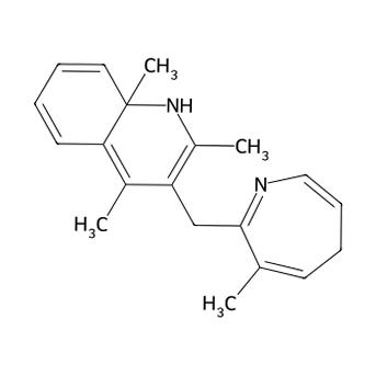 CC1=CCC=CN=C1CC1=C(C)NC2(C)C=CC=CC2=C1C